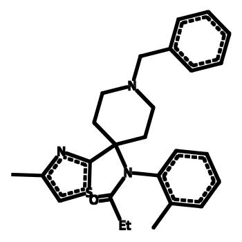 CCC(=O)N(c1ccccc1C)C1(c2nc(C)cs2)CCN(Cc2ccccc2)CC1